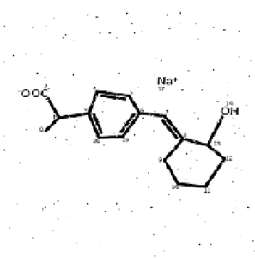 CC(C(=O)[O-])c1ccc(C=C2CCCCC2O)cc1.[Na+]